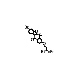 CCCC(CC)CCOc1ccc2c(c1)C(C)(C)c1oc3cc(Br)ccc3c1C2=O